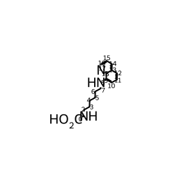 O=C(O)NCCCCCCNc1cccc2cccnc12